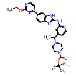 CCOc1nccc(-c2ccc3nc(Nc4cc(C(C)N5CCN(C(=O)OC(C)(C)C)CC5)ccn4)[nH]c3c2)n1